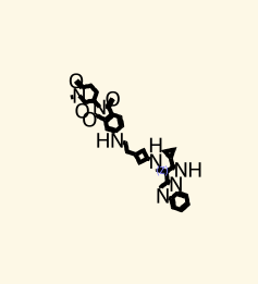 CN1C(=O)CCC(N2C(=O)c3ccc(NCCC4CC(N/C=C(\C(=N)C5CC5)c5cnc6ccccc6n5)C4)cc3C2=O)C1=O